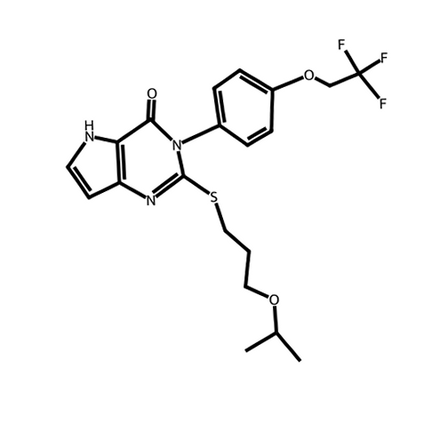 CC(C)OCCCSc1nc2cc[nH]c2c(=O)n1-c1ccc(OCC(F)(F)F)cc1